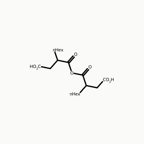 CCCCCCC(CC(=O)O)C(=O)OC(=O)C(CCCCCC)CC(=O)O